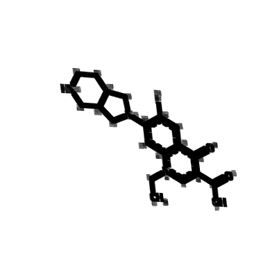 CCn1cc(C(=O)O)c(=O)c2cc(F)c(N3CC4CCNCC4C3)cc21